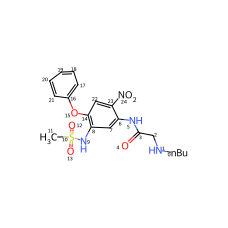 CCCCNCC(=O)Nc1cc(NS(C)(=O)=O)c(Oc2ccccc2)cc1[N+](=O)[O-]